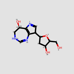 OCC1OC(C2C=NC3=C2N=CNC[C@H]3O)CC1O